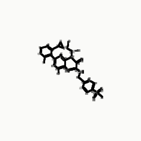 Cc1ncnc(C2CC2)c1-c1nc(C)c2nc(NCc3ccc(S(C)(=O)=O)cn3)c(=O)n([C@@H](C)CF)c2n1